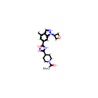 COC(=O)N1CCC(c2noc(-c3cc(C)c4cnn(C5COC5)c4c3)n2)CC1